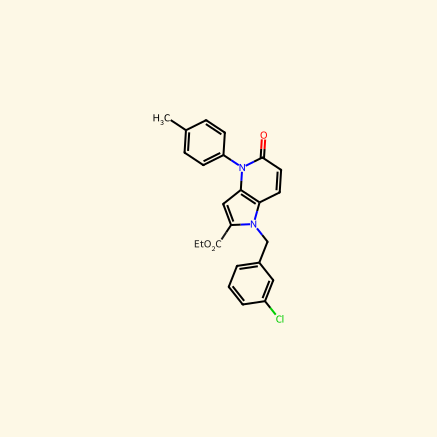 CCOC(=O)c1cc2c(ccc(=O)n2-c2ccc(C)cc2)n1Cc1cccc(Cl)c1